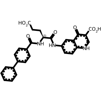 O=C(O)CC[C@H](NC(=O)c1ccc(-c2ccccc2)cc1)C(=O)Nc1ccc2[nH]cc(C(=O)O)c(=O)c2c1